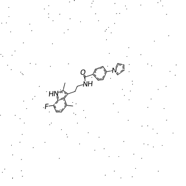 Cc1[nH]c2c(F)ccc(C)c2c1CCNC(=O)c1ccc(-n2cccc2)cc1